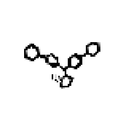 c1cc(C(c2ccc(C3CCCCC3)cc2)[C@H]2CCCN2)ccc1C1CCCCC1